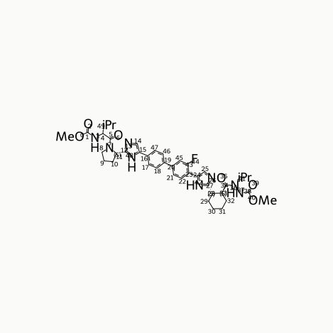 COC(=O)NC(C(=O)N1CCC[C@H]1c1ncc(-c2ccc(-c3ccc(-c4cnc([C@H]5CCCC[C@@H]5C(=O)N(NC(=O)OC)C(C)C)[nH]4)c(F)c3)cc2)[nH]1)C(C)C